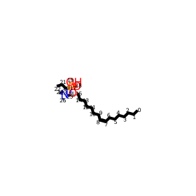 CCCCCCC/C=C\CCCCCCCOP(=O)(O)C(CC)[N+](C)(C)C